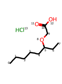 CCCCCC(CC)OCC(=O)O.Cl